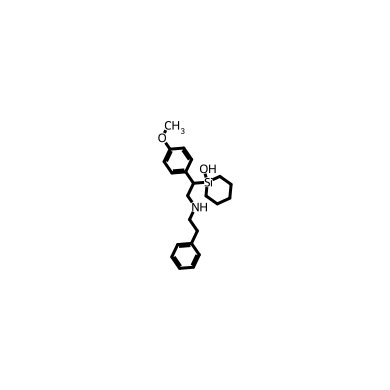 COc1ccc(C(CNCCc2ccccc2)[Si]2(O)CCCCC2)cc1